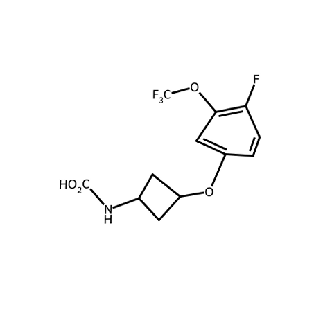 O=C(O)NC1CC(Oc2ccc(F)c(OC(F)(F)F)c2)C1